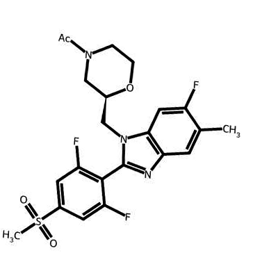 CC(=O)N1CCO[C@@H](Cn2c(-c3c(F)cc(S(C)(=O)=O)cc3F)nc3cc(C)c(F)cc32)C1